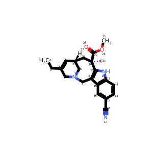 CCC1=C[C@H]2CN(C1)Cc1c([nH]c3ccc(C#N)cc13)[C@](I)(C(=O)OC)C2